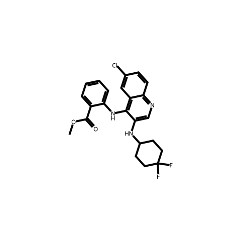 COC(=O)c1ccccc1Nc1c(NC2CCC(F)(F)CC2)cnc2ccc(Cl)cc12